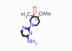 CO[C@H]1CCN(c2nccc(N)n2)C[C@@]1(C)O